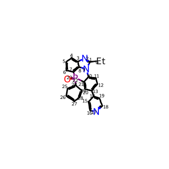 CCc1nc2cccc3c2n1-c1ccc(-c2ccncc2)cc1P3(=O)c1ccccc1